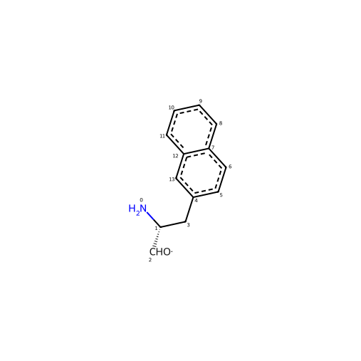 N[C@@H]([C]=O)Cc1ccc2ccccc2c1